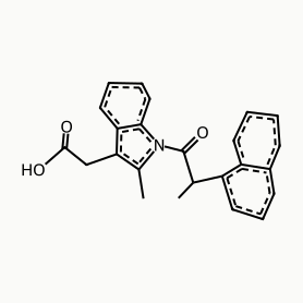 Cc1c(CC(=O)O)c2ccccc2n1C(=O)C(C)c1cccc2ccccc12